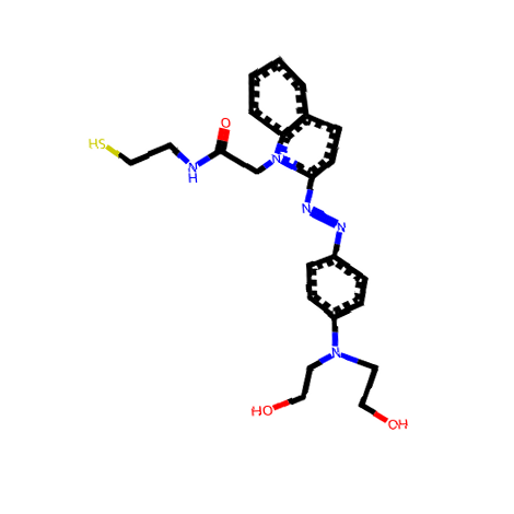 O=C(C[n+]1c(/N=N/c2ccc(N(CCO)CCO)cc2)ccc2ccccc21)NCCS